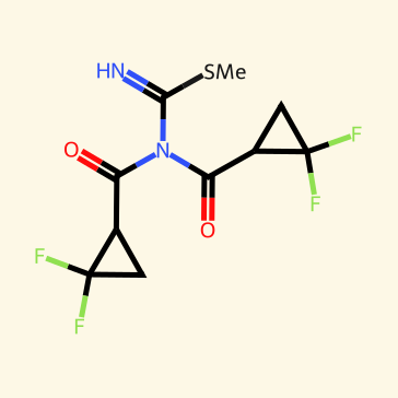 CSC(=N)N(C(=O)C1CC1(F)F)C(=O)C1CC1(F)F